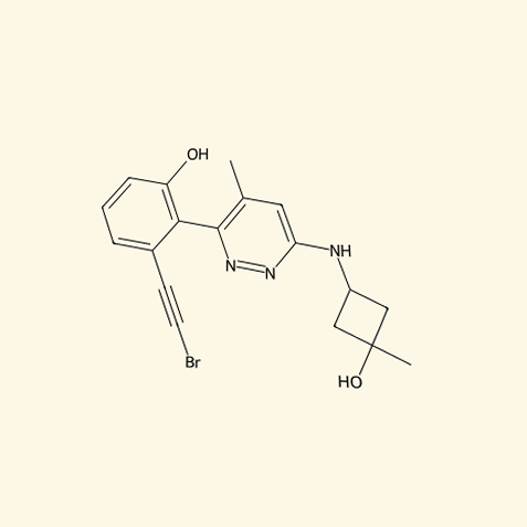 Cc1cc(NC2CC(C)(O)C2)nnc1-c1c(O)cccc1C#CBr